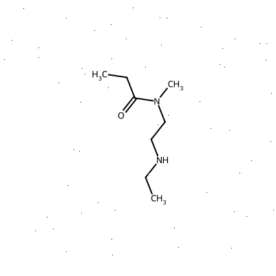 CCNCCN(C)C(=O)CC